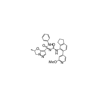 COc1cc(-c2ccc3c(c2NC(=O)N=[S@](=O)(Nc2ccccc2)c2cnn4c2O[C@H](C)C4)CCC3)ccn1